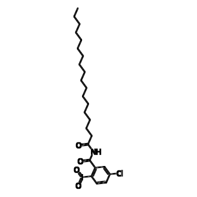 CCCCCCCCCCCCCCCCCC(=O)NC(=O)c1cc(Cl)ccc1I(=O)=O